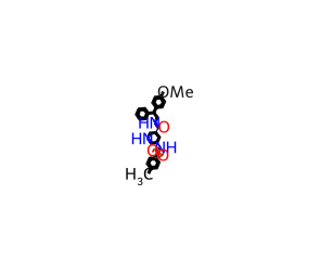 COc1ccc(C(CNC(=O)[C@@H]2CNC[C@H](NS(=O)(=O)c3ccc(C)cc3)C2)c2ccccc2)cc1